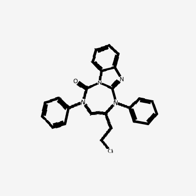 O=C1N(c2ccccc2)CC(CCCl)N(c2ccccc2)c2nc3ccccc3n21